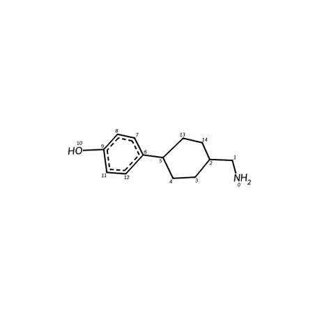 NCC1CCC(c2ccc(O)cc2)CC1